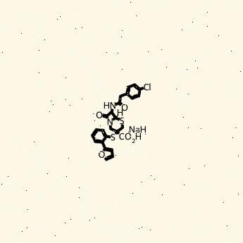 O=C(Cc1ccc(Cl)cc1)NC1C(=O)N2CC(Sc3ccccc3-c3ccco3)(C(=O)O)CS[C@H]12.[NaH]